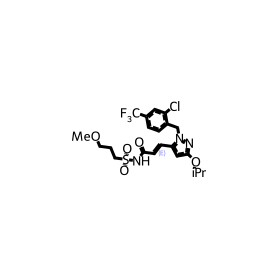 COCCCS(=O)(=O)NC(=O)/C=C/c1cc(OC(C)C)nn1Cc1ccc(C(F)(F)F)cc1Cl